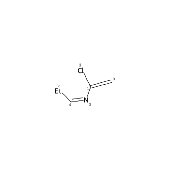 C=C(Cl)/N=C\CC